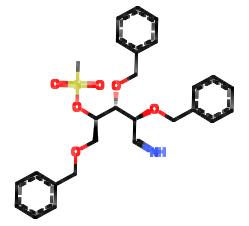 CS(=O)(=O)O[C@H](COCc1ccccc1)[C@H](OCc1ccccc1)[C@H](C=N)OCc1ccccc1